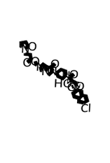 O=C(CCN1CCCC1=O)OCN1C=C2C(=O)N(C3CCN(C(=O)[C@H](O)CS(=O)(=O)c4ccc5cc(Cl)ccc5c4)CC3)CN2C1